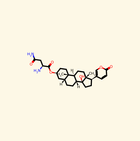 C[C@]12CC[C@H](OC(=O)[C@@H](N)CC(N)=O)C[C@H]1CC[C@@H]1[C@@H]2CC[C@]2(C)[C@@H](c3ccc(=O)oc3)CC[C@]12O